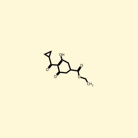 CCOC(=O)C1CC(=O)C(C(=O)C2CC2)=C(O)C1